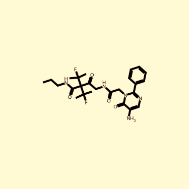 CCCNC(=O)C(C(=O)CNC(=O)Cn1c(-c2ccccc2)ncc(N)c1=O)(C(C)(C)F)C(C)(C)F